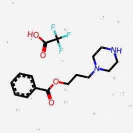 O=C(O)C(F)(F)F.O=C(OCCCN1CCNCC1)c1ccccc1